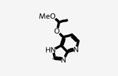 COC(C)Oc1ccnc2n[c][nH]c12